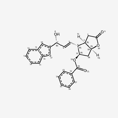 O=C1C[C@@H]2[C@@H](C=C[C@@H](O)c3cc4ccccc4s3)[C@H](OC(=O)c3ccccc3)C[C@@H]2O1